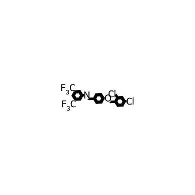 FC(F)(F)c1cc(/N=C/c2ccc(OCc3ccc(Cl)cc3Cl)cc2)cc(C(F)(F)F)c1